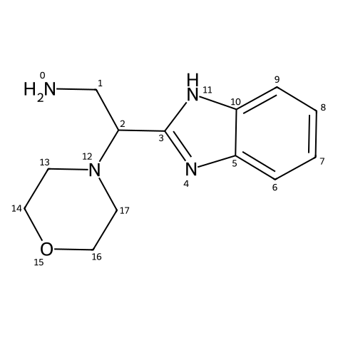 NCC(c1nc2ccccc2[nH]1)N1CCOCC1